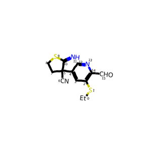 CCSc1cc(C2(C#N)CCSC2=N)cnc1C=O